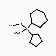 CO[Si](OC(C)C)(C1CCCCC1)C1CCCC1